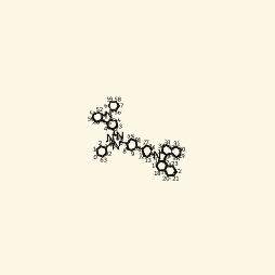 c1ccc(-c2nc(-c3ccc(-c4ccc(-n5c6ccc7ccccc7c6c6c7ccccc7ccc65)cc4)cc3)nc(-c3ccc4c(c3)c3ccccc3n4-c3ccccc3)n2)cc1